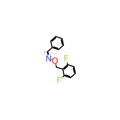 Fc1cccc(F)c1CO/N=[C]\c1ccccc1